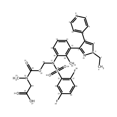 CCn1cc(-c2ccncc2)c(-c2cccc(N(COC(=O)N(C)CC(=O)O)S(=O)(=O)c3cc(F)ccc3F)c2C)n1